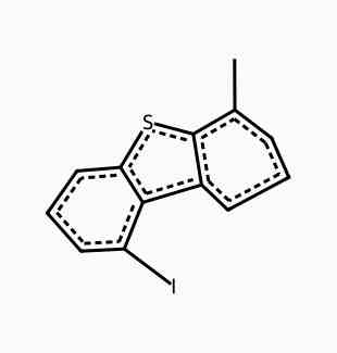 Cc1cccc2c1sc1cccc(I)c12